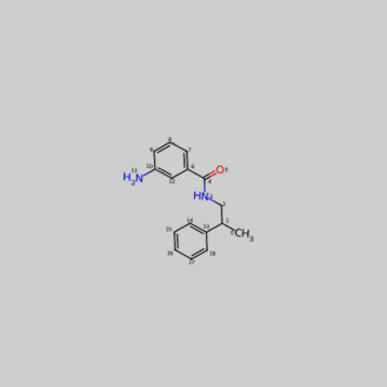 CC(CNC(=O)c1c[c]cc(N)c1)c1ccccc1